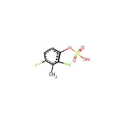 Cc1c(F)ccc(OS(=O)(=O)O)c1F